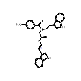 Cc1ccc(C(=O)N(CCc2c[nH]c3ccccc23)CC(=O)N/C=C/c2c[nH]c3ccccc23)cc1